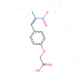 CC(=Cc1ccc(OCC(=O)O)cc1)[N+](=O)[O-]